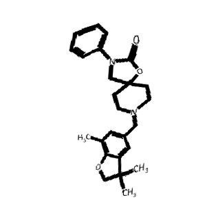 Cc1cc(CN2CCC3(CC2)CN(c2ccccc2)C(=O)O3)cc2c1OCC2(C)C